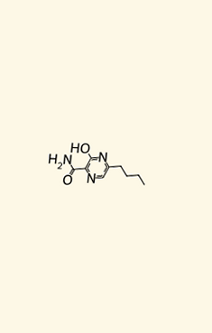 CCCCc1cnc(C(N)=O)c(O)n1